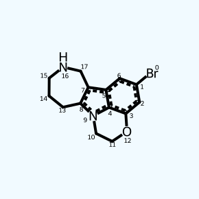 Brc1cc2c3c(c1)c1c(n3CCO2)CCCNC1